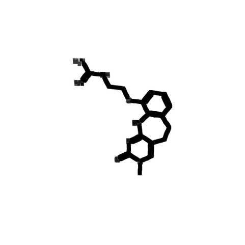 Cn1cc2c(nc1=O)Nc1c(cccc1OCCNC(=N)N)CC2